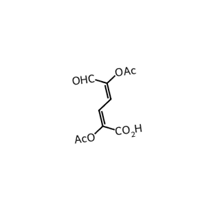 CC(=O)OC(C=O)=CC=C(OC(C)=O)C(=O)O